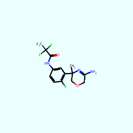 CC1(c2cc(NC(=O)C(F)(F)C(F)(F)F)ccc2F)COCC(N)=N1